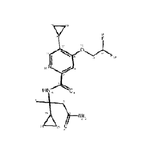 CC(CC(N)=O)(NC(=O)c1cc(OCC(F)F)c(C2CC2)cn1)C1CC1